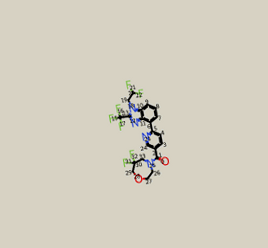 O=C(c1ccc(-c2cccc3c2nc(C(F)(F)F)n3CC(F)F)nc1)N1CCOCC(F)(F)C1